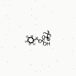 CC(C)(C)C(=O)OC(O)OCc1ccccc1